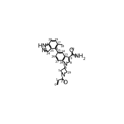 C=CC(=O)N1CC(n2cc(C(N)=O)c3cc(-c4c(C)ccc5[nH]ncc45)ccc32)C1